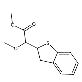 COC(=O)C(OC)C1Cc2ccccc2S1